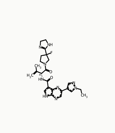 C=C(C)[C@@H](NC(=O)c1c[nH]c2ncc(-c3cnn(CC)c3)nc12)C(=O)N1CCC(F)(C2=NCCN2)C1